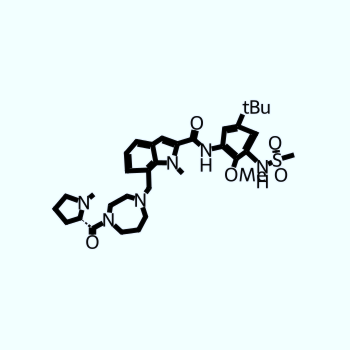 COc1c(NC(=O)c2cc3cccc(CN4CCCN(C(=O)[C@@H]5CCCN5C)CC4)c3n2C)cc(C(C)(C)C)cc1NS(C)(=O)=O